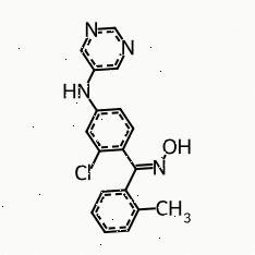 Cc1ccccc1C(=NO)c1ccc(Nc2cncnc2)cc1Cl